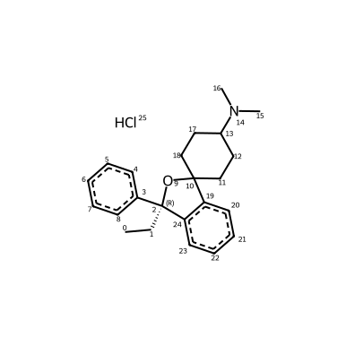 CC[C@]1(c2ccccc2)OC2(CCC(N(C)C)CC2)c2ccccc21.Cl